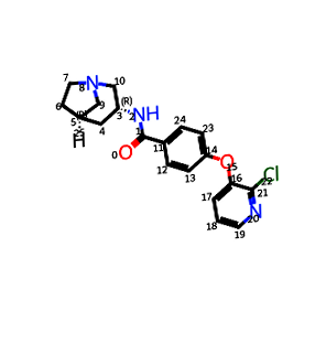 O=C(N[C@@H]1C[C@H]2CCN(C2)C1)c1ccc(Oc2cccnc2Cl)cc1